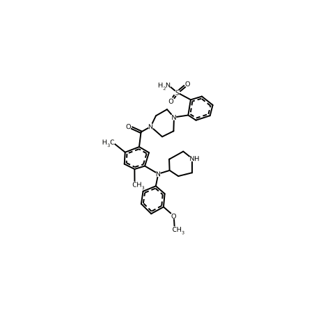 COc1cccc(N(c2cc(C(=O)N3CCN(c4ccccc4S(N)(=O)=O)CC3)c(C)cc2C)C2CCNCC2)c1